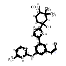 CC/C=C\c1cc(Nc2nccc(C(F)(F)F)n2)cc(-c2cnc(C3(O)CCC(C(=O)O)C(C)(C)C3)s2)c1